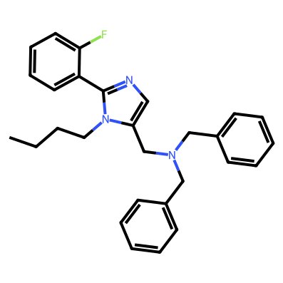 CCCCn1c(CN(Cc2ccccc2)Cc2ccccc2)cnc1-c1ccccc1F